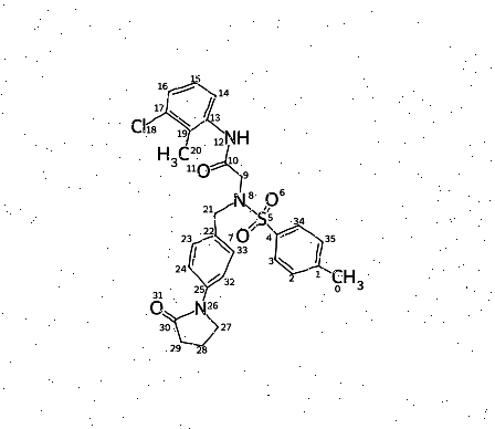 Cc1ccc(S(=O)(=O)N(CC(=O)Nc2cccc(Cl)c2C)Cc2ccc(N3CCCC3=O)cc2)cc1